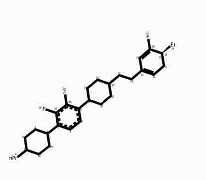 CCCC1CCC(c2ccc(C3CCC(CCC4=CC[C@H](CC)C(F)=C4)CC3)c(F)c2F)CC1